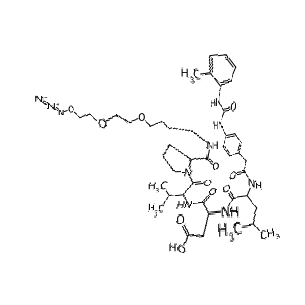 Cc1ccccc1NC(=O)Nc1ccc(CC(=O)NC(CC(C)C)C(=O)NC(CC(=O)O)C(=O)NC(C(=O)N2CCCC2C(=O)NCCCCOCCOCCON=[N+]=[N-])C(C)C)cc1